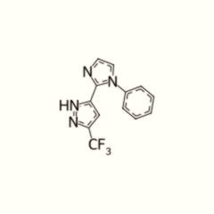 FC(F)(F)c1cc(-c2nccn2-c2ccccc2)[nH]n1